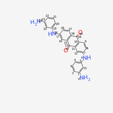 Nc1cccc(Nc2ccc3c(c2)C(=O)c2cc(Nc4cccc(N)c4)ccc2C3=O)c1